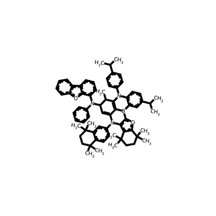 CC(C)c1ccc(N2C3=C4B(c5cc(C(C)C)ccc52)c2oc5c(c2N(c2ccc6c(c2)C(C)(C)CCC6(C)C)C4=CC(N(c2ccccc2)c2cccc4c2oc2ccccc24)C3C)C(C)(C)CCC5(C)C)cc1